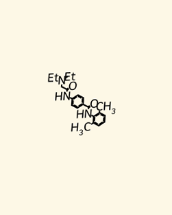 CCN(CC)CC(=O)Nc1ccc(C(=O)Nc2c(C)cccc2C)cc1